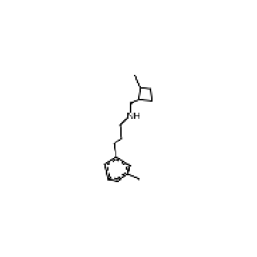 Cc1cccc(CCCNCC2CCC2C)c1